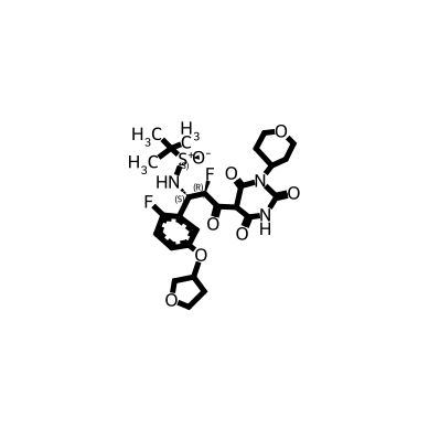 CC(C)(C)[S@@+]([O-])N[C@@H](c1cc(OC2CCOC2)ccc1F)[C@@H](F)C(=O)C1C(=O)NC(=O)N(C2CCOCC2)C1=O